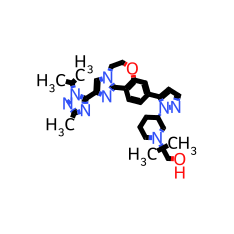 Cc1nc(-c2cn3c(n2)-c2ccc(-c4ccnn4[C@@H]4CCCN(C(C)(C)CO)C4)cc2OCC3)n(C(C)C)n1